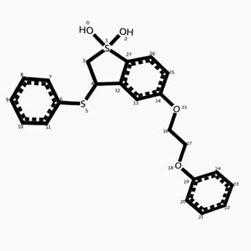 OS1(O)CC(Sc2ccccc2)c2cc(OCCOc3ccccc3)ccc21